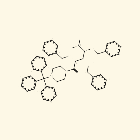 CC[C@@H](O)[C@@H](OCc1ccccc1)[C@H](OCc1ccccc1)[C@@H](OCc1ccccc1)C(=O)N1CCN(C(c2ccccc2)(c2ccccc2)c2ccccc2)CC1